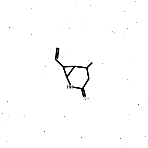 C=CC1C2NC(=N)CC(C)C12